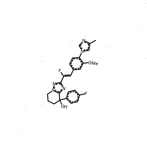 COc1cc(/C=C(\F)c2nc3n(n2)CCCC3(O)c2ccc(F)cc2)ccc1-n1cnc(C)c1